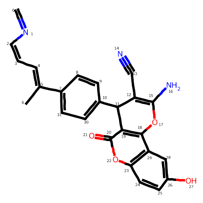 C=N/C=C\C=C(/C)c1ccc(C2C(C#N)=C(N)Oc3c2c(=O)oc2ccc(O)cc32)cc1